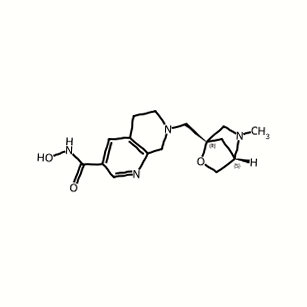 CN1C[C@]2(CN3CCc4cc(C(=O)NO)cnc4C3)C[C@H]1CO2